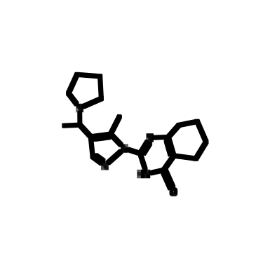 Cc1c(C(C)N2CCCC2)cnn1-c1nc2c(c(=O)[nH]1)CCCC2